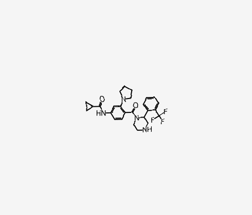 O=C(Nc1ccc(C(=O)N2CCNCC2c2ccccc2C(F)(F)F)c(N2CCCC2)c1)C1CC1